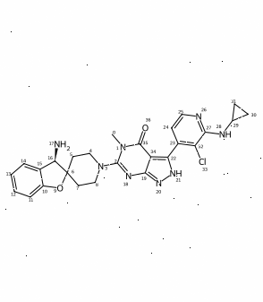 Cn1c(N2CCC3(CC2)Oc2ccccc2[C@H]3N)nc2n[nH]c(-c3ccnc(NC4CC4)c3Cl)c2c1=O